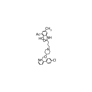 CC(=O)c1cc(C)cc(NC(=O)CCCN2CCC(OCc3ncccc3-c3ccc(Cl)cc3)CC2)c1O